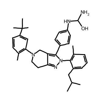 Cc1ccc(C(C)(C)C)cc1N1CCc2nn(-c3c(C)cccc3CC(C)C)c(-c3ccc(NC(N)O)cc3)c2C1